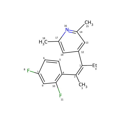 CC/C(=C(\C)c1ccc(F)cc1F)c1cc(C)nc(C)c1